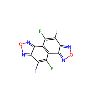 Fc1c(I)c2nonc2c2c(F)c(I)c3nonc3c12